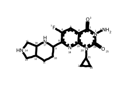 Nn1c(=O)c2cc(F)c(C3CCC4CNCC4N3)nc2n(C2CC2)c1=O